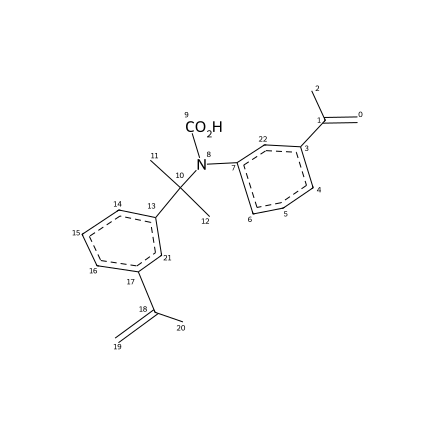 C=C(C)c1cccc(N(C(=O)O)C(C)(C)c2cccc(C(=C)C)c2)c1